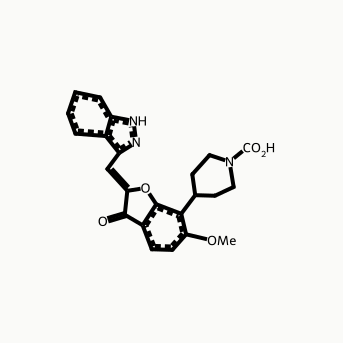 COc1ccc2c(c1C1CCN(C(=O)O)CC1)OC(=Cc1n[nH]c3ccccc13)C2=O